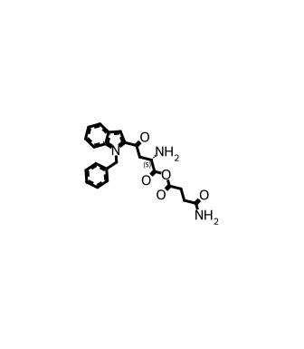 NC(=O)CCC(=O)OC(=O)[C@@H](N)CC(=O)c1cc2ccccc2n1Cc1ccccc1